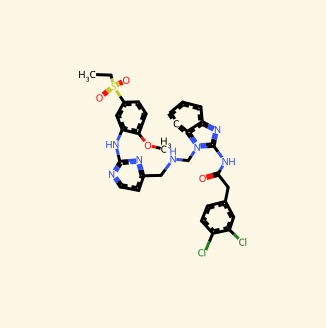 CCS(=O)(=O)c1ccc(OC)c(Nc2nccc(CNCn3c(NC(=O)Cc4ccc(Cl)c(Cl)c4)nc4ccccc43)n2)c1